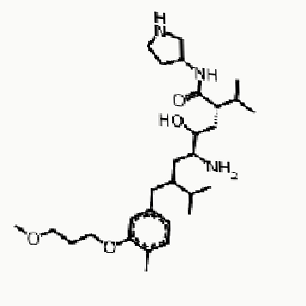 COCCCOc1cc(CC(C[C@H](N)C(O)C[C@H](C(=O)N[C@H]2CCNC2)C(C)C)C(C)C)ccc1C